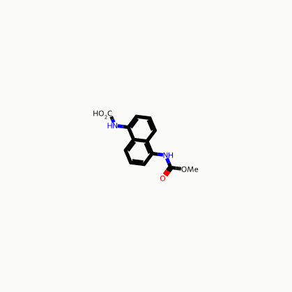 COC(=O)Nc1cccc2c(NC(=O)O)cccc12